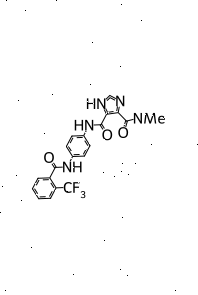 CNC(=O)c1nc[nH]c1C(=O)Nc1ccc(NC(=O)c2ccccc2C(F)(F)F)cc1